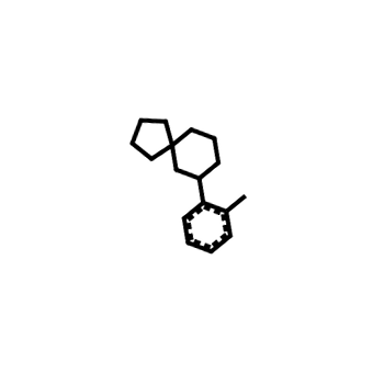 Cc1ccccc1C1CCCC2(CCCC2)C1